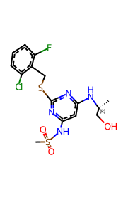 C[C@H](CO)Nc1cc(NS(C)(=O)=O)nc(SCc2c(F)cccc2Cl)n1